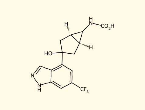 O=C(O)NC1[C@H]2CC(O)(c3cc(C(F)(F)F)cc4[nH]ncc34)C[C@@H]12